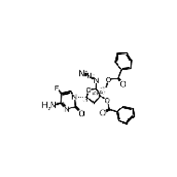 [N-]=[N+]=N[C@]1(COC(=O)c2ccccc2)O[C@@H](n2cc(F)c(N)nc2=O)C[C@@H]1OC(=O)c1ccccc1